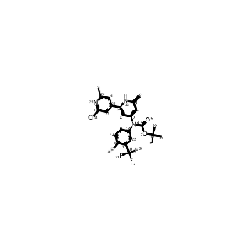 C=C1C=C(N(C(=O)OC(C)(C)C)c2ccc(F)c(C(F)(F)F)c2)C=C(c2cc(C)nc(Cl)c2)N1